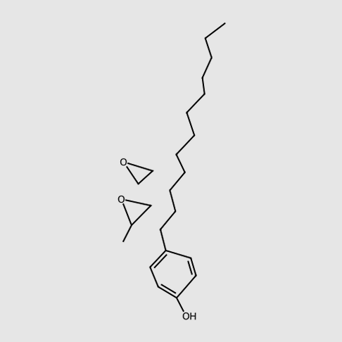 C1CO1.CC1CO1.CCCCCCCCCCCCc1ccc(O)cc1